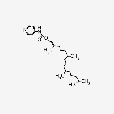 C/C(=C\COC(=O)Nc1ccncc1)CCC[C@H](C)CCC[C@H](C)CCCC(C)C